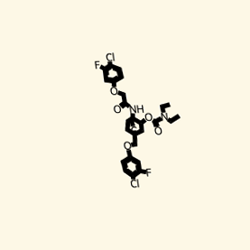 CCN(CC)C(=O)OC1CC2(COc3ccc(Cl)c(F)c3)CCC1(NC(=O)COc1ccc(Cl)c(F)c1)CC2